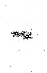 N#Cc1ccc(NC(=O)C(O)(O)COc2ccc(Cl)c(F)c2)cc1C(F)(F)F